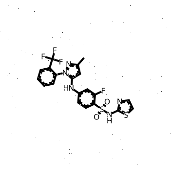 Cc1cc(Nc2ccc(S(=O)(=O)Nc3nccs3)c(F)c2)n(-c2ccccc2C(F)(F)F)n1